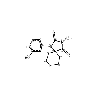 CN1C(=O)N(c2ccnc(O)c2)C2(CCCCC2)C1=O